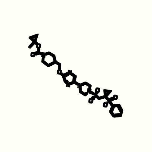 CC1(OC(=O)N2CCC(COc3cnc(N4CCN(S(=O)(=O)CC5(S(=O)(=O)c6ccccc6)CC5)CC4)cn3)CC2)CC1